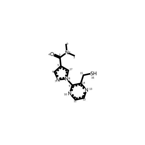 CN(C)C(=O)c1cnn(-c2nccnc2CS)c1